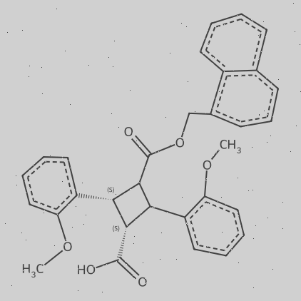 COc1ccccc1C1C(C(=O)OCc2cccc3ccccc23)[C@@H](c2ccccc2OC)[C@H]1C(=O)O